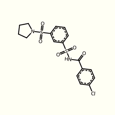 O=C(NS(=O)(=O)c1cccc(S(=O)(=O)N2CCCC2)c1)c1ccc(Cl)cc1